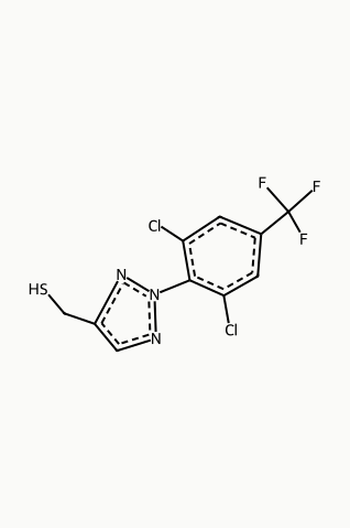 FC(F)(F)c1cc(Cl)c(-n2ncc(CS)n2)c(Cl)c1